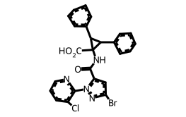 O=C(NC1(C(=O)O)C(c2ccccc2)C1c1ccccc1)c1cc(Br)nn1-c1ncccc1Cl